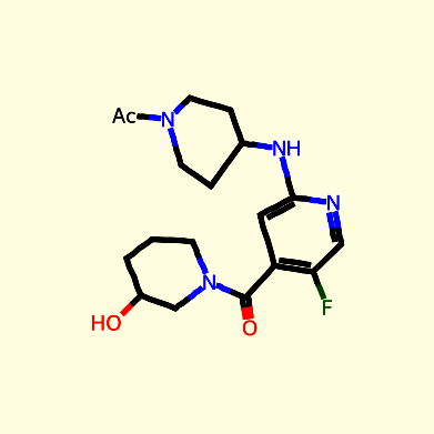 CC(=O)N1CCC(Nc2cc(C(=O)N3CCCC(O)C3)c(F)cn2)CC1